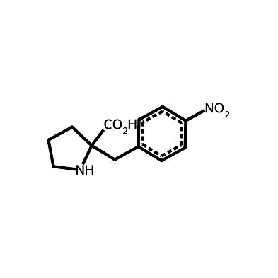 O=C(O)C1(Cc2ccc([N+](=O)[O-])cc2)CCCN1